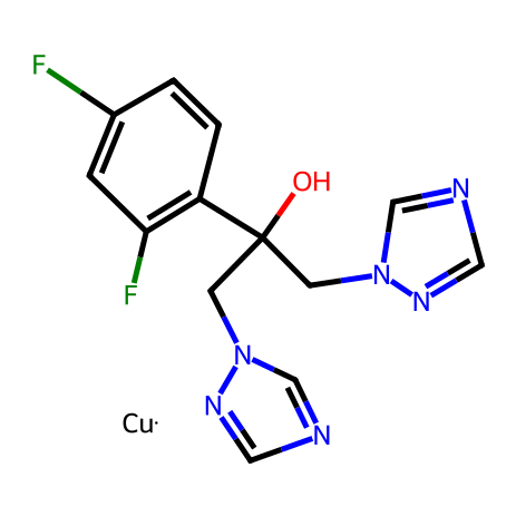 OC(Cn1cncn1)(Cn1cncn1)c1ccc(F)cc1F.[Cu]